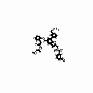 COCC(C)OC(=O)Cc1ccccc1OCc1cc(-c2cccc(CN)c2)c2oc(CNC(=O)c3cccc(C#N)c3)cc2c1